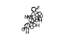 [N-]=[N+]=N[C@]1(COP2(=O)OCC[C@@H](c3c(F)cccc3Cl)O2)O[C@@H](n2ccc(=O)[nH]c2=O)[C@H](O)[C@@H]1O